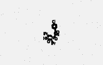 CC(C)C[C@H]1C(=O)N[C@@H](C(C)C)CN1C(=O)c1cc(-c2ccc(Cl)cc2)on1